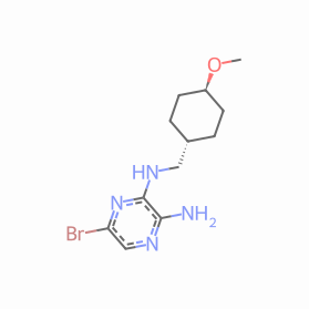 CO[C@H]1CC[C@H](CNc2nc(Br)cnc2N)CC1